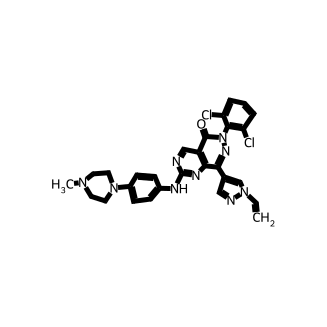 C=Cn1cc(-c2nn(-c3c(Cl)cccc3Cl)c(=O)c3cnc(Nc4ccc(N5CCN(C)CC5)cc4)nc23)cn1